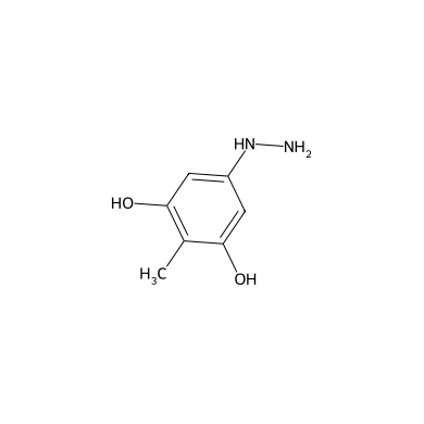 Cc1c(O)cc(NN)cc1O